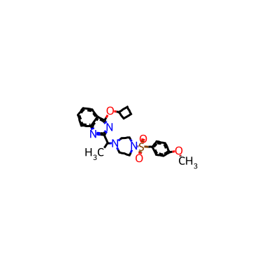 COc1ccc(S(=O)(=O)N2CCN(C(C)c3nc(OC4CCC4)c4ccccc4n3)CC2)cc1